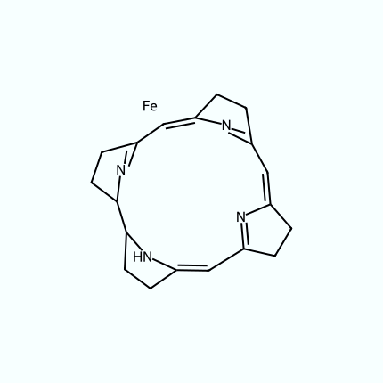 C1=C2CCC(=N2)C=C2CCC(N2)C2CCC(=N2)C=C2CCC1=N2.[Fe]